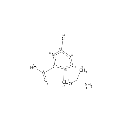 CCO.N.O=C(O)c1nc(Cl)ccc1Cl